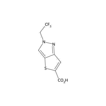 O=C(O)c1cc2nn(CC(F)(F)F)cc2s1